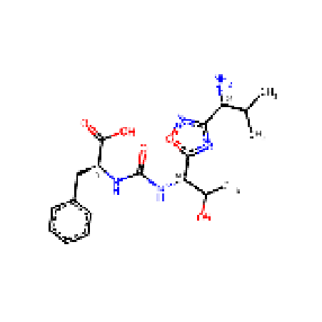 CC(C)[C@H](N)c1noc([C@@H](NC(=O)N[C@@H](Cc2ccccc2)C(=O)O)C(C)O)n1